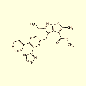 CCc1nc2sc(C)c(C(=O)OC)c2n1Cc1ccc(-c2ccccc2)c(-c2nnn[nH]2)c1